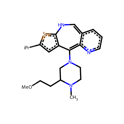 COCCC1CN(C2=c3ncccc3=CNc3sc(C(C)C)cc32)CCN1C